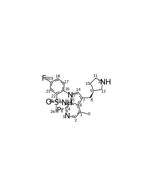 Cc1cncc2c1c(C[C@H]1CCNC1)cn2-c1ccc(F)cc1S(=N)(=O)C(C)C